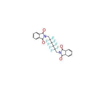 O=C1c2ccccc2C(=O)N1CC(F)(F)C(F)(F)C(F)(F)C(F)(F)CN1C(=O)C2C=CC=CC2C1=O